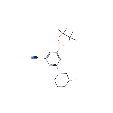 CC1(C)OB(c2cc(C#N)cc(N3CCCC(O)C3)c2)OC1(C)C